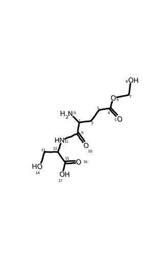 NC(CCC(=O)OCO)C(=O)NC(CO)C(=O)O